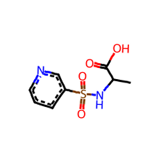 CC(NS(=O)(=O)c1cccnc1)C(=O)O